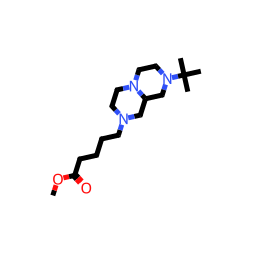 COC(=O)CCCCN1CCN2CCN(C(C)(C)C)CC2C1